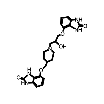 O=c1[nH]c2cccc(OCC(O)CN3CCC(COc4cccc5[nH]c(=O)[nH]c45)CC3)c2[nH]1